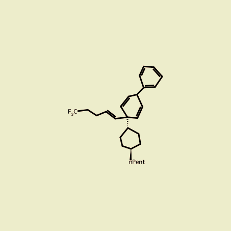 CCCCC[C@H]1CC[C@H](C2(/C=C/CCC(F)(F)F)C=CC(c3ccccc3)C=C2)CC1